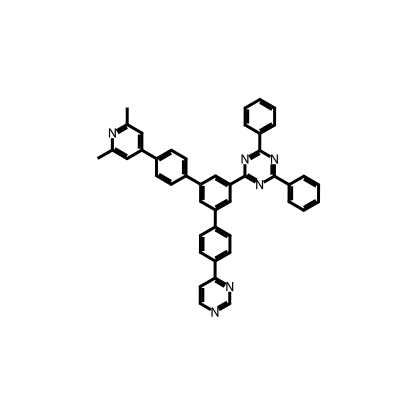 Cc1cc(-c2ccc(-c3cc(-c4ccc(-c5ccncn5)cc4)cc(-c4nc(-c5ccccc5)nc(-c5ccccc5)n4)c3)cc2)cc(C)n1